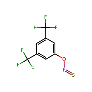 FC(F)(F)c1cc(OP=S)cc(C(F)(F)F)c1